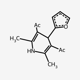 CC(=O)C1=C(C)NC(C)=C(C(C)=O)C1c1ccco1